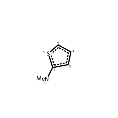 CNc1cc[c]s1